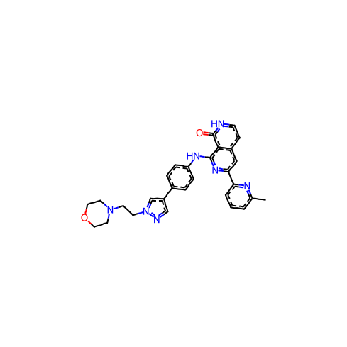 Cc1cccc(-c2cc3cc[nH]c(=O)c3c(Nc3ccc(-c4cnn(CCN5CCOCC5)c4)cc3)n2)n1